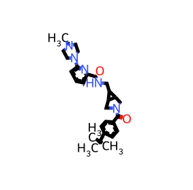 CN1CCN(c2cc[c]c(C(=O)NCC3C4CN(C(=O)c5ccc(C(C)(C)C)cc5)CC34)n2)CC1